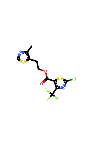 Cc1ncsc1CCOC(=O)c1sc(Cl)nc1C(F)(F)F